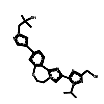 CC(C)n1nc(CO)nc1-c1cn2c(n1)-c1ccc(-c3cnn(CC(C)(C)O)c3)cc1OCC2